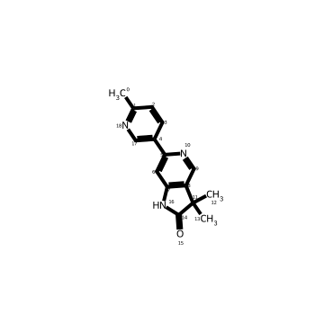 Cc1ccc(-c2cc3c(cn2)C(C)(C)C(=O)N3)cn1